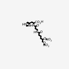 O=C(CCCC(CO[N+](=O)[O-])O[N+](=O)[O-])NCCC(=O)NC(Cc1c[nH]cn1)C(=O)O